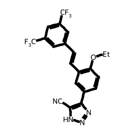 CCOc1ccc(-c2nn[nH]c2C#N)cc1/C=C/c1cc(C(F)(F)F)cc(C(F)(F)F)c1